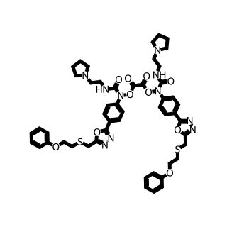 O=C(ON(C(=O)NCCN1CCCC1)c1ccc(-c2nnc(CSCCOc3ccccc3)o2)cc1)C(=O)ON(C(=O)NCCN1CCCC1)c1ccc(-c2nnc(CSCCOc3ccccc3)o2)cc1